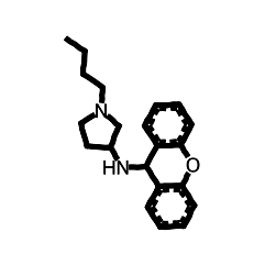 CCCCN1CCC(NC2c3ccccc3Oc3ccccc32)C1